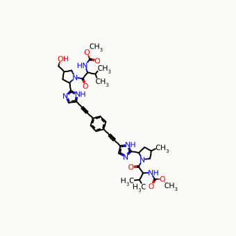 COC(=O)NC(C(=O)N1CC(C)CC1c1ncc(C#Cc2ccc(C#Cc3cnc(C4CC(CO)CN4C(=O)C(NC(=O)OC)C(C)C)[nH]3)cc2)[nH]1)C(C)C